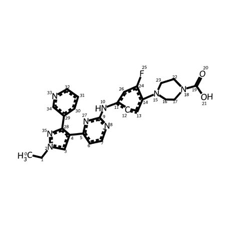 CCn1cc(-c2ccnc(Nc3ccc(N4CCN(C(=O)O)CC4)c(F)c3)n2)c(-c2cccnc2)n1